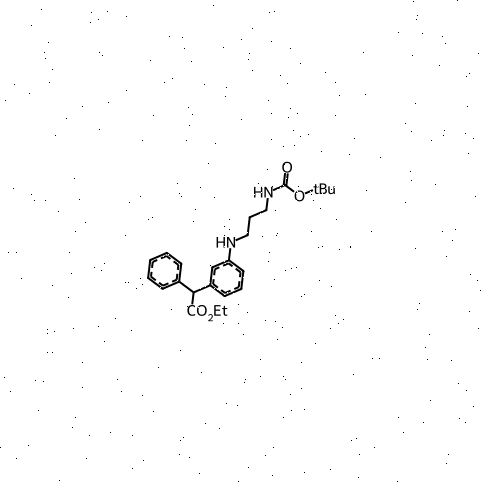 CCOC(=O)C(c1ccccc1)c1cccc(NCCCNC(=O)OC(C)(C)C)c1